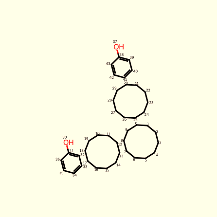 C1CCCCCCCCC1.C1CCCCCCCCC1.C1CCCCCCCCC1.Oc1ccccc1.Oc1ccccc1